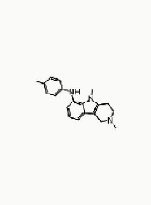 Cc1ccc(Nc2cccc3c4c(n(C)c23)CCN(C)C4)cc1